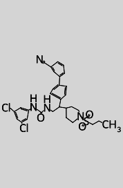 CCCS(=O)(=O)N1CCC(C(CNC(=O)Nc2cc(Cl)cc(Cl)c2)c2ccc(-c3cccc(C#N)c3)cc2)CC1